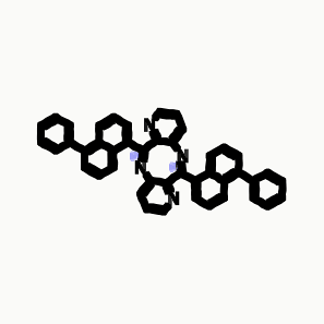 c1ccc(-c2cccc3c(/C4=N/c5cccnc5/C(c5cccc6c(-c7ccccc7)cccc56)=N\c5cccnc54)cccc23)cc1